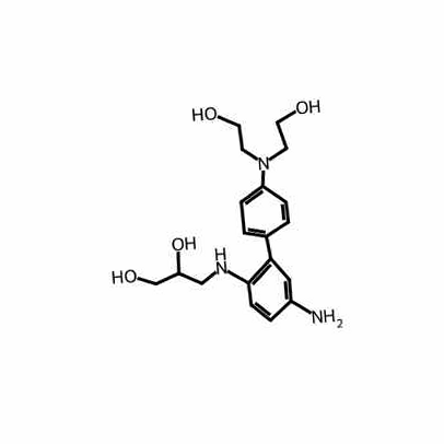 Nc1ccc(NCC(O)CO)c(-c2ccc(N(CCO)CCO)cc2)c1